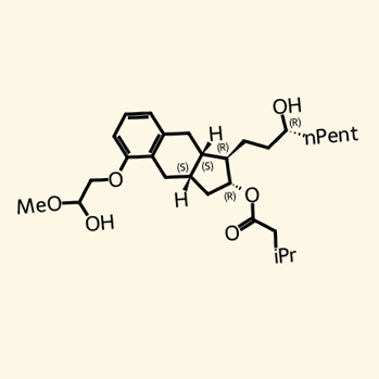 CCCCC[C@@H](O)CC[C@@H]1[C@H]2Cc3cccc(OCC(O)OC)c3C[C@H]2C[C@H]1OC(=O)CC(C)C